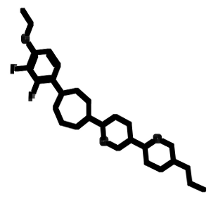 CCCC1CCC(C2CCC(C3CCCC(c4ccc(OCC)c(F)c4F)CC3)OC2)OC1